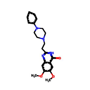 COc1cc2nc(CCN3CCN(c4ccccc4)CC3)[nH]c(=O)c2cc1OC